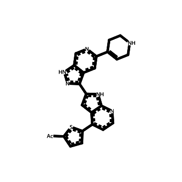 CC(=O)c1ccc(-c2ccnc3[nH]c(-c4n[nH]c5cnc(C6=CCNCC6)cc45)cc23)s1